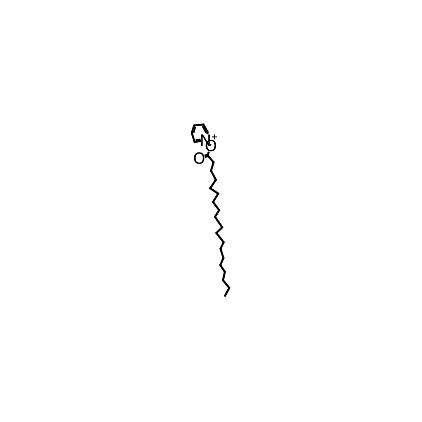 CCCCCCCCCCCCCCCCCCC(=O)O[n+]1ccccc1